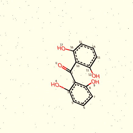 O=C(c1c(O)cccc1O)c1c(O)cccc1O